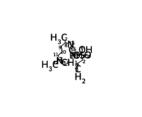 C=CCS(=O)(=O)O.CC(CCCN(C)C)N=C=N